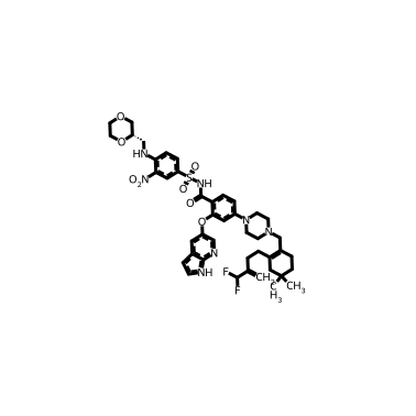 C=C(CCC1=C(CN2CCN(c3ccc(C(=O)NS(=O)(=O)c4ccc(NC[C@H]5COCCO5)c([N+](=O)[O-])c4)c(Oc4cnc5[nH]ccc5c4)c3)CC2)CCC(C)(C)C1)C(F)F